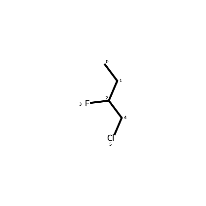 C[CH]C(F)CCl